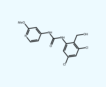 COc1cc(NC(=O)Nc2cc(Cl)cc(Cl)c2CO)ccn1